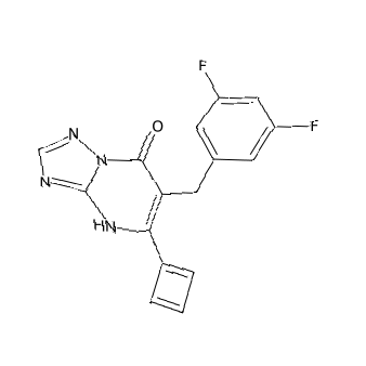 O=c1c(Cc2cc(F)cc(F)c2)c(C2=CC=C2)[nH]c2ncnn12